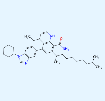 CCC1C=CNc2c(C(N)=O)c(C(C)CCCCCCC(C)C)cc(-c3ccc4c(c3)ncn4C3CCCCC3)c21